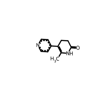 CC1=C(c2ccncc2)CCC(=O)N1